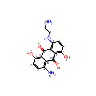 NCCNc1ccc(O)c2c1C(=O)c1c(O)ccc(N)c1C2=O